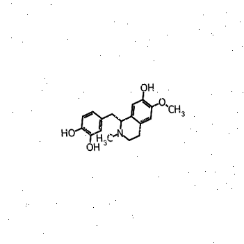 COc1cc2c(cc1O)C(Cc1ccc(O)c(O)c1)N(C)CC2